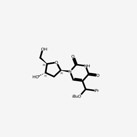 CC(C)COC(c1cn([C@H]2C[C@H](O)[C@@H](CO)O2)c(=O)[nH]c1=O)C(C)C